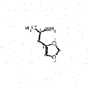 CC(N)CC1=COCO1